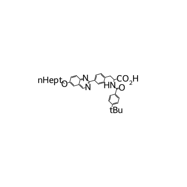 CCCCCCCOc1ccc2nc(-c3ccc(CC(NC(=O)c4ccc(C(C)(C)C)cc4)C(=O)O)cc3)ncc2c1